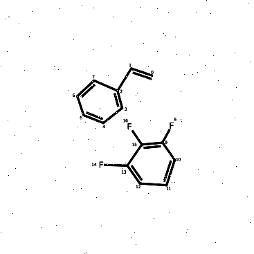 C=Cc1ccccc1.Fc1cccc(F)c1F